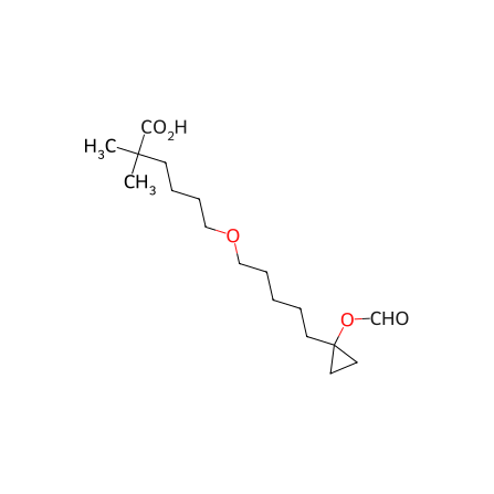 CC(C)(CCCCOCCCCCC1(OC=O)CC1)C(=O)O